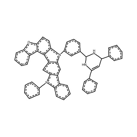 C1=C(c2ccccc2)NC(c2cccc(-n3c4cc5c6ccccc6n(-c6ccccc6)c5cc4c4c5c(ccc43)oc3ccccc35)c2)NC1c1ccccc1